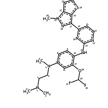 CN(C)CCN(C)c1ccc(Nc2nccc(-c3nn(C)c4ccsc34)n2)c(OC(F)F)c1